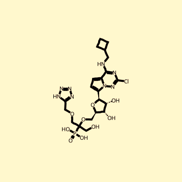 O=P(O)(O)C(CO)(COCc1nnn[nH]1)OC[C@H]1O[C@@H](c2ccc3c(NCC4CCC4)nc(Cl)nn23)[C@H](O)[C@@H]1O